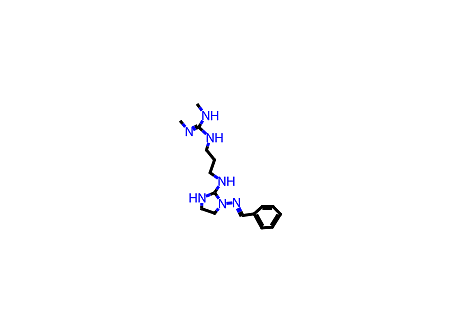 CN=C(NC)NCCCNC1NCCN1N=Cc1ccccc1